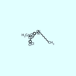 CCCCCCCCCCCc1noc(-c2cccc(CN(CCc3ccc(Cl)c(Cl)c3)C(=O)C(=O)OCC)c2)n1